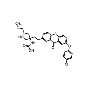 COCOCC(CO)(CCc1ccc2sc3ccc(Oc4ccc(Cl)cc4)cc3c(=O)c2c1)NC(=O)O